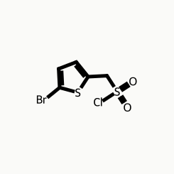 O=S(=O)(Cl)Cc1ccc(Br)s1